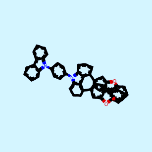 C1=c2c(c3c(-c4ccc5c(c4)oc4ccccc45)cccc3n2-c2ccc(-n3c4ccccc4c4ccccc43)cc2)=C(c2ccc3c(c2)oc2ccccc23)CC1